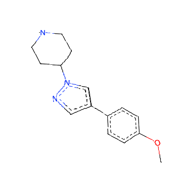 COc1ccc(-c2cnn(C3CC[N]CC3)c2)cc1